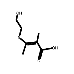 CC(SCCO)=C(C)C(=O)O